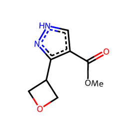 COC(=O)c1c[nH]nc1C1COC1